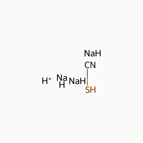 N#CS.[H+].[NaH].[NaH].[NaH]